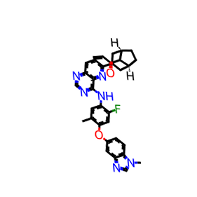 C=CC(=O)C1[C@@H]2CC[C@H]1CC(c1ccc3ncnc(Nc4cc(C)c(Oc5ccc6c(c5)ncn6C)cc4F)c3n1)C2